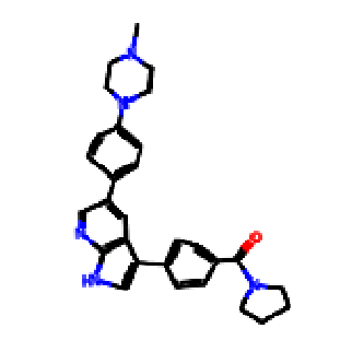 CN1CCN(c2ccc(-c3cnc4[nH]cc(-c5ccc(C(=O)N6CCCC6)cc5)c4c3)cc2)CC1